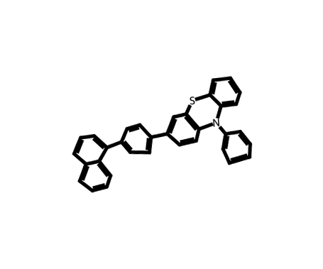 c1ccc(N2c3ccccc3Sc3cc(-c4ccc(-c5cccc6ccccc56)cc4)ccc32)cc1